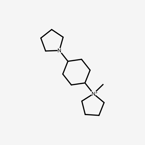 C[N+]1(C2CCC(N3CCCC3)CC2)CCCC1